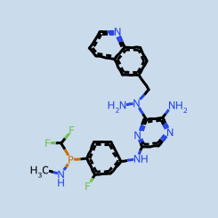 CNP(c1ccc(Nc2cnc(N)c(N(N)Cc3ccc4ncccc4c3)n2)cc1F)C(F)F